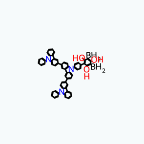 Bc1c(O)c(B)c(O)c(-c2ccc(-n3c4ccc(-c5ccc6c(c5)c5ccccc5n6-c5ccccc5)cc4c4cc(-c5ccc6c(c5)c5ccccc5n6-c5ccccc5)ccc43)cc2)c1O